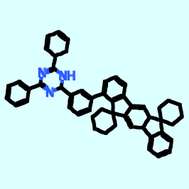 C1=CCC(C2=NC(c3ccccc3)=NC(c3cccc(-c4cccc5c4C4(CCCCC4)C4=CC6c7ccccc7C7(CCCCC7)C6C=C45)c3)N2)C=C1